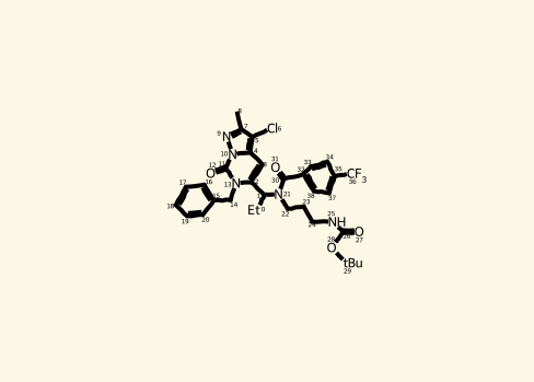 CCC(c1cc2c(Cl)c(C)nn2c(=O)n1Cc1ccccc1)N(CCCNC(=O)OC(C)(C)C)C(=O)c1ccc(C(F)(F)F)cc1